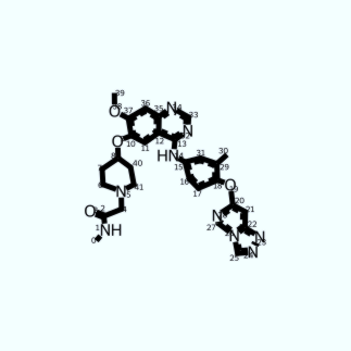 CNC(=O)CN1CCC(Oc2cc3c(Nc4ccc(Oc5cc6nncn6cn5)c(C)c4)ncnc3cc2OC)CC1